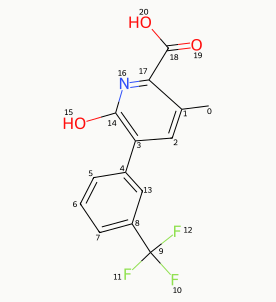 Cc1cc(-c2cccc(C(F)(F)F)c2)c(O)nc1C(=O)O